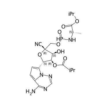 CC(C)OC(=O)[C@H](C)N[PH](=O)OC[C@@]1(C#N)O[C@@H](c2ccc3c(N)ncnn23)[C@H](OC(=O)C(C)C)[C@@H]1O